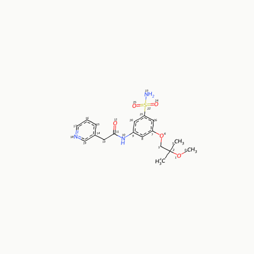 COC(C)(C)COc1cc(NC(=O)Cc2cccnc2)cc(S(N)(=O)=O)c1